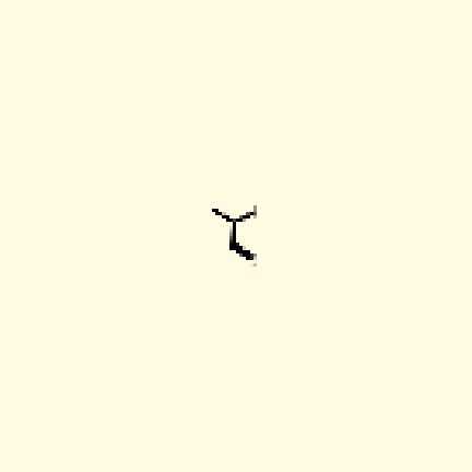 CC(I)C=S